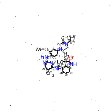 COc1cc(N2CCN(C3CCC3)[C@H](C)C2)ccc1Nc1ncc(C(F)(F)F)c(NCc2cccc3c2C(C)(C)C(=O)N3)n1